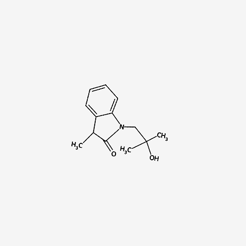 CC1C(=O)N(CC(C)(C)O)c2ccccc21